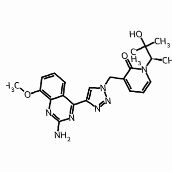 COc1cccc2c(-c3cn(Cc4cccn([C@H](C)C(C)(C)O)c4=O)nn3)nc(N)nc12